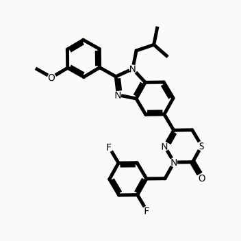 COc1cccc(-c2nc3cc(C4=NN(Cc5cc(F)ccc5F)C(=O)SC4)ccc3n2CC(C)C)c1